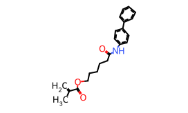 C=C(C)C(=O)OCCCCCC(=O)Nc1ccc(-c2ccccc2)cc1